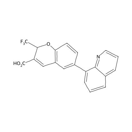 O=C(O)C1=Cc2cc(-c3cccc4cccnc34)ccc2OC1C(F)(F)F